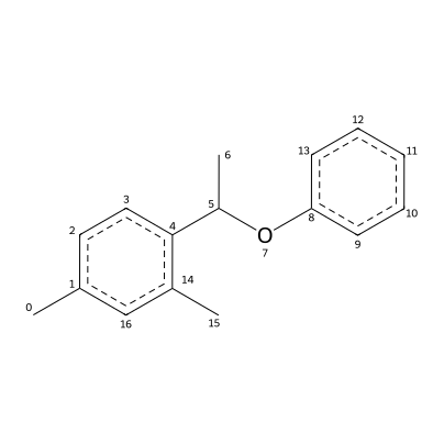 Cc1ccc(C(C)Oc2ccccc2)c(C)c1